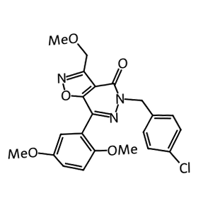 COCc1noc2c(-c3cc(OC)ccc3OC)nn(Cc3ccc(Cl)cc3)c(=O)c12